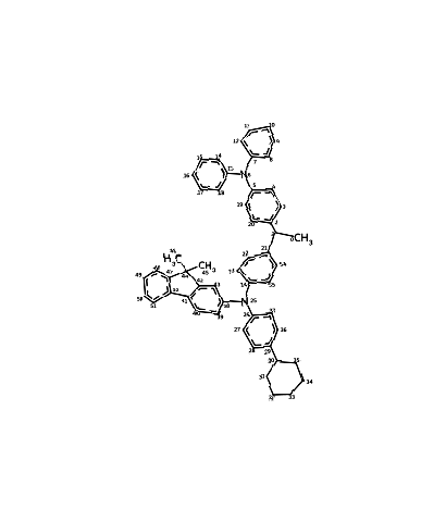 CC(c1ccc(N(c2ccccc2)c2ccccc2)cc1)c1ccc(N(c2ccc(C3CCCCC3)cc2)c2ccc3c(c2)C(C)(C)c2ccccc2-3)cc1